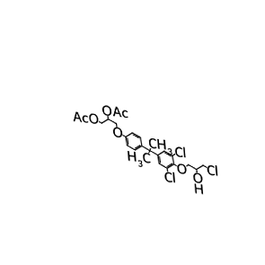 CC(=O)OC[C@H](COc1ccc(C(C)(C)c2cc(Cl)c(OC[C@H](O)CCl)c(Cl)c2)cc1)OC(C)=O